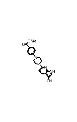 COC(=O)c1ccc(N2CCN(c3ccc4c(C#N)c[nH]c4n3)CC2)cc1